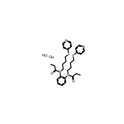 CCC(=O)N(CCCCSc1ccncc1)c1ccccc1N(CCCCSc1ccncc1)C(=O)CC.Cl.Cl